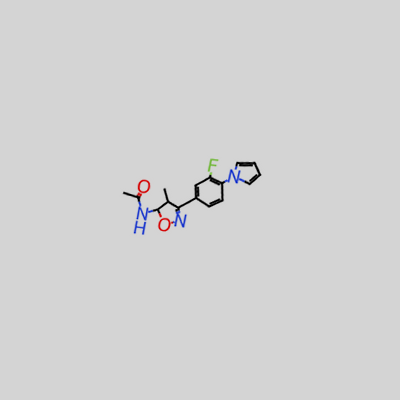 CC(=O)NC1ON=C(c2ccc(-n3cccc3)c(F)c2)C1C